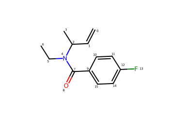 C=CC(C)N(CC)C(=O)c1ccc(F)cc1